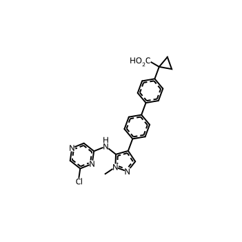 Cn1ncc(-c2ccc(-c3ccc(C4(C(=O)O)CC4)cc3)cc2)c1Nc1cncc(Cl)n1